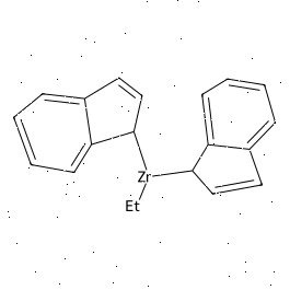 C[CH2][Zr]([CH]1C=Cc2ccccc21)[CH]1C=Cc2ccccc21